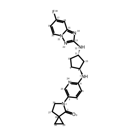 O=C1N(c2ccc(N[C@H]3CC[C@H](Nc4nc5cc(F)ccn5n4)C3)nc2)CCC12CC2